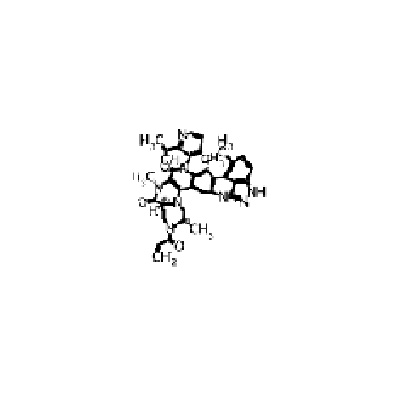 C=CC(=O)N1C[C@@H]2C(=O)N(C)c3c(c4cc5c(c(F)c4n(-c4c(C)ccnc4C(C)C)c3=O)-c3c(C)ccc4[nH]nc(c34)N5)N2C[C@H]1C